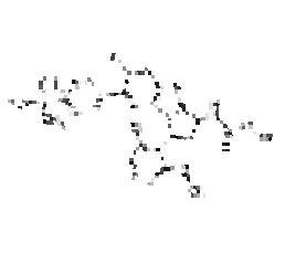 CC(C)(C)OC(=O)N[C@@H]1C[C@H](c2c(Cl)cccc2OC(F)(F)F)n2c1nc1cc(F)c(-c3ccc(C(C)(C)N)cc3)cc12